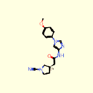 COc1ccc(-n2cnc(NC(=O)C[C@H]3CCN(C#N)C3)c2)cc1